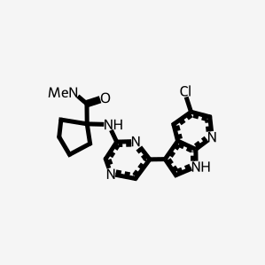 CNC(=O)C1(Nc2cncc(-c3c[nH]c4ncc(Cl)cc34)n2)CCCC1